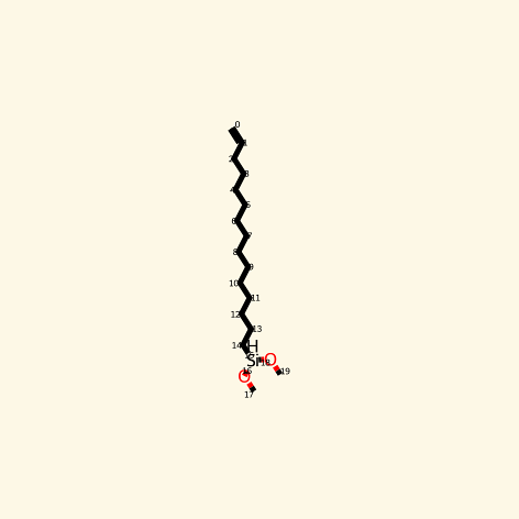 C=CCCCCCCCCCCCCC[SiH](OC)OC